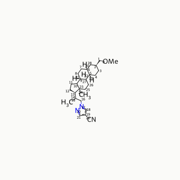 COC[C@H]1CC[C@H]2[C@H](CC[C@H]3C4CC[C@H]([C@H](C)Cn5cc(C#N)cn5)[C@@]4(C)CC[C@H]23)C1